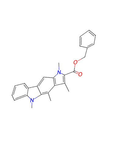 Cc1c(C(=O)OCc2ccccc2)n(C)c2cc3c4ccccc4n(C)c3c(C)c12